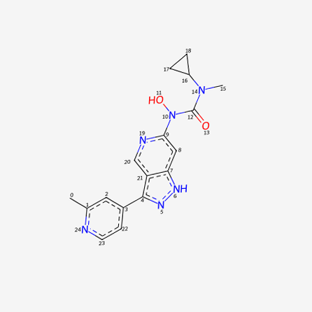 Cc1cc(-c2n[nH]c3cc(N(O)C(=O)N(C)C4CC4)ncc23)ccn1